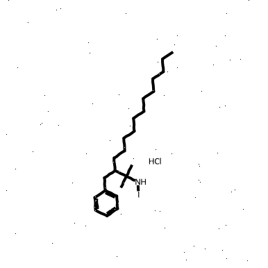 CCCCCCCCCCCCC(Cc1ccccc1)C(C)(C)NI.Cl